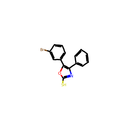 Sc1nc(-c2ccccc2)c(-c2cccc(Br)c2)o1